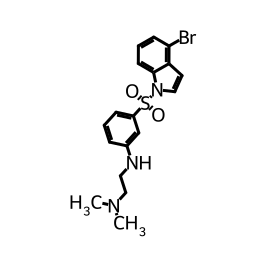 CN(C)CCNc1cccc(S(=O)(=O)n2ccc3c(Br)cccc32)c1